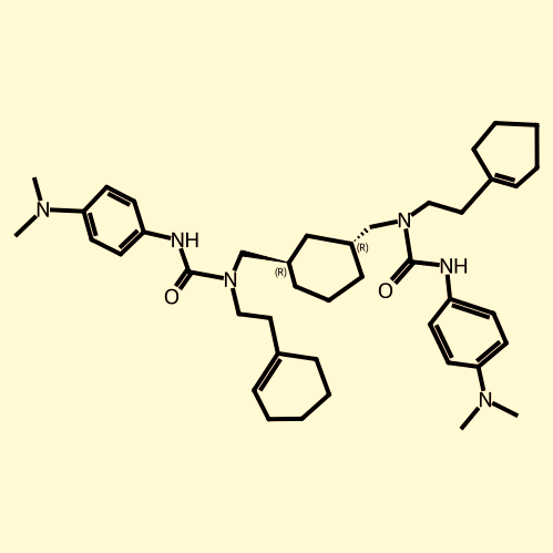 CN(C)c1ccc(NC(=O)N(CCC2=CCCCC2)C[C@@H]2CCC[C@@H](CN(CCC3=CCCCC3)C(=O)Nc3ccc(N(C)C)cc3)C2)cc1